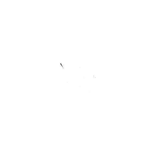 C[N+]12CC(=O)O[B-]1(C1O[C@H]1c1ccccc1)OC(=O)C2